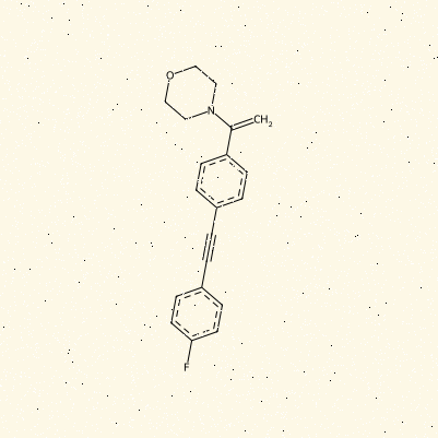 C=C(c1ccc(C#Cc2ccc(F)cc2)cc1)N1CCOCC1